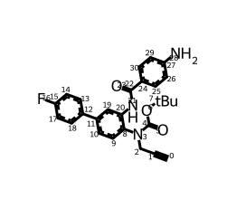 C#CCN(C(=O)OC(C)(C)C)c1ccc(-c2ccc(F)cc2)cc1NC(=O)c1ccc(N)cc1